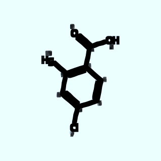 O=C(O)c1ccc(Cl)c[c]1[Hg]